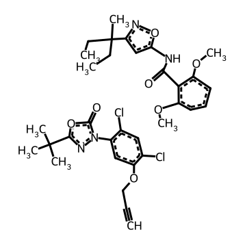 C#CCOc1cc(-n2nc(C(C)(C)C)oc2=O)c(Cl)cc1Cl.CCC(C)(CC)c1cc(NC(=O)c2c(OC)cccc2OC)on1